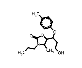 CCCN1C(=O)OC(C(CCO)Oc2ccc(C)cc2)C1C